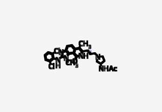 CC(=O)NC1CCN(C/C=C/c2[nH]c(=O)c3c(ccc4nc(Nc5c(Cl)cccc5Cl)n(C)c43)c2C)C1